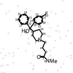 CNC(=O)CCCN1CCC(C(O)(c2ccccc2)c2ccc(F)cc2)CC1